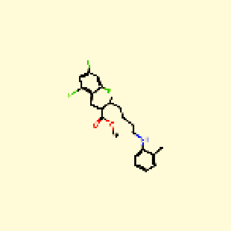 Cc1ccccc1NCCCCC(C)C(Cc1c(F)cc(F)cc1F)C(=O)OC(C)(C)C